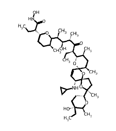 CCC(C(=O)NO)[C@H]1CC[C@H](C)C([C@@H](C)[C@H](O)[C@H](C)C(=O)[C@H](CC)[C@H]2O[C@]3(C=C[C@@H](NC4CC4)[C@]4(CC[C@@](C)([C@H]5CC[C@](O)(CC)[C@H](C)O5)O4)O3)[C@H](C)C[C@@H]2C)O1